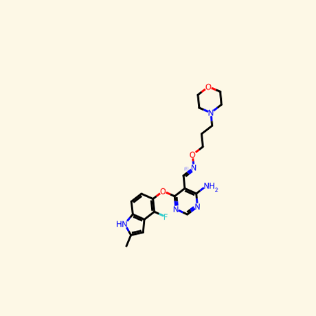 Cc1cc2c(F)c(Oc3ncnc(N)c3/C=N/OCCCN3CCOCC3)ccc2[nH]1